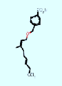 CC(=CCOCc1ccc(C(=O)O)cc1)CCC=CCC(Cl)(Cl)Cl